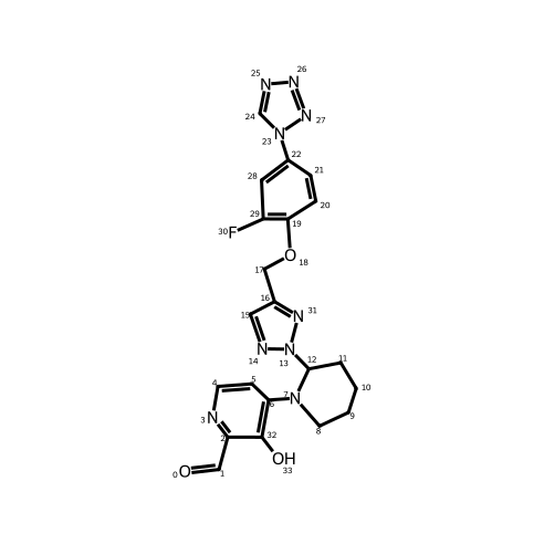 O=Cc1nccc(N2CCCCC2n2ncc(COc3ccc(-n4cnnn4)cc3F)n2)c1O